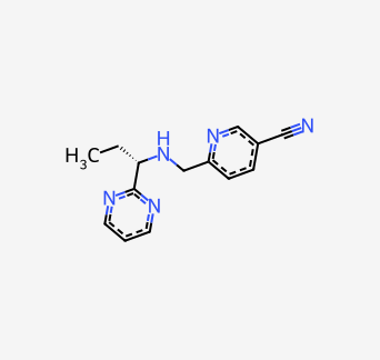 CC[C@H](NCc1ccc(C#N)cn1)c1ncccn1